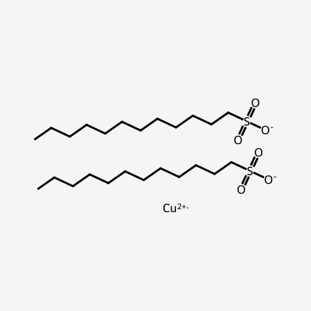 CCCCCCCCCCCCS(=O)(=O)[O-].CCCCCCCCCCCCS(=O)(=O)[O-].[Cu+2]